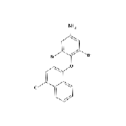 Nc1cc(Br)c(Oc2ccc(Cl)c3ccccc23)c(Br)c1